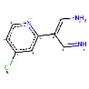 N=C/C(=C\N)c1cc(Cl)ccn1